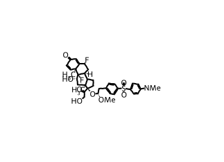 CNc1ccc(S(=O)(=O)c2ccc(C[C@H](OC)O[C@]3(C(=O)CO)CCC4[C@@H]5C[C@H](F)C6=CC(=O)C=C[C@]6(C)[C@@]5(F)[C@@H](O)C[C@@]43C)cc2)cc1